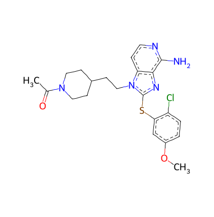 COc1ccc(Cl)c(Sc2nc3c(N)nccc3n2CCC2CCN(C(C)=O)CC2)c1